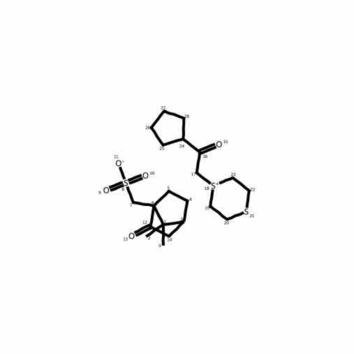 CC1(C)C2CCC1(CS(=O)(=O)[O-])C(=O)C2.O=C(C[S+]1CCSCC1)C1CCCC1